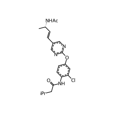 CC(=O)N[C@@H](C)/C=C/c1cnc(Oc2ccc(NC(=O)CC(C)C)c(Cl)c2)nc1